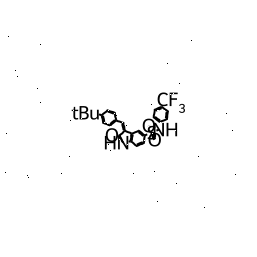 CC(C)(C)c1ccc(C=C2C(=O)Nc3ccc(S(=O)(=O)Nc4ccc(C(F)(F)F)cc4)cc32)cc1